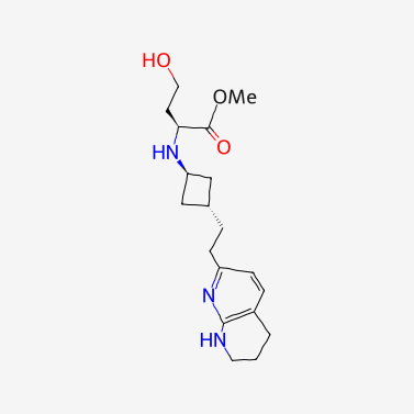 COC(=O)[C@H](CCO)N[C@H]1C[C@H](CCc2ccc3c(n2)NCCC3)C1